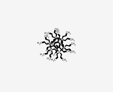 C=CC[Si](CC=C)(CC=C)C(C=C)(c1[c]c(C(C=C)([Si](CC=C)(CC=C)CC=C)[Si](CC=C)(CC=C)CC=C)cc(C(C=C)([Si](CC=C)(CC=C)CC=C)[Si](CC=C)(CC=C)CC=C)c1)[Si](CC=C)(CC=C)CC=C